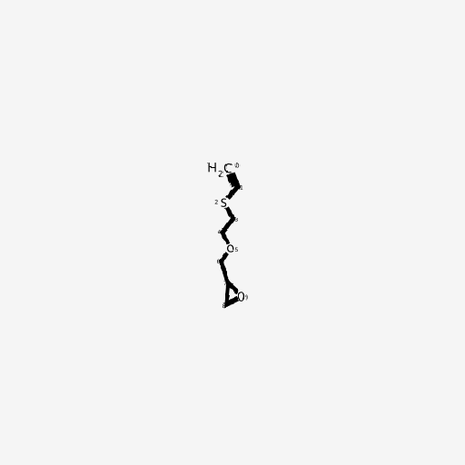 C=CSCCOCC1CO1